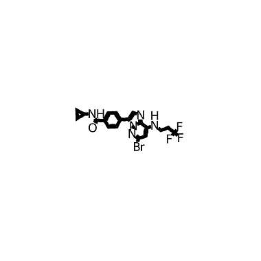 O=C(NC1CC1)c1ccc(-c2cnc3c(NCCC(F)(F)F)cc(Br)nn23)cc1